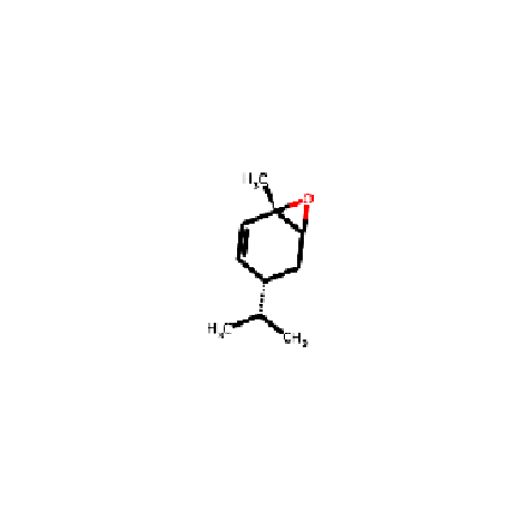 CC(C)[C@@H]1C=C[C@]2(C)OC2C1